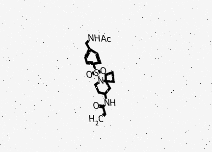 C=CC(=O)NC1CCN(S(=O)(=O)c2ccc(CNC(C)=O)cc2)C2(CCC2)C1